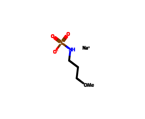 COCCCNS(=O)(=O)[O-].[Na+]